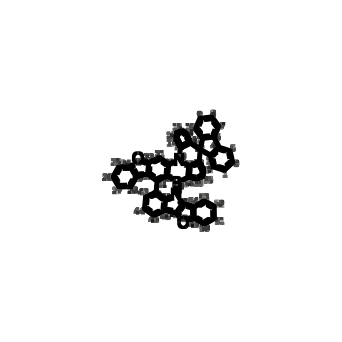 c1ccc2c(c1)-c1ccccc1C21c2ccccc2N2c3cc4oc5ccccc5c4c4c3B(c3cccc1c32)n1c2c-4cccc2c2oc3ccccc3c21